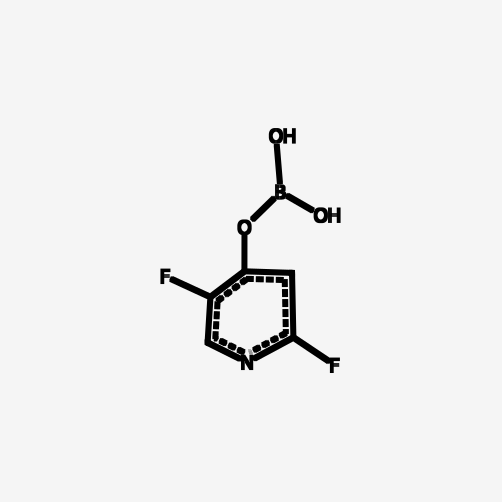 OB(O)Oc1cc(F)ncc1F